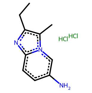 CCc1nc2ccc(N)cn2c1C.Cl.Cl